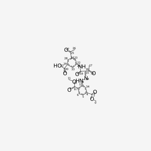 COC(=O)c1ccc(C(=O)OC)c(N/N=C(/C(C)=O)C(=O)Nc2cc(C(C)=O)cc(C(=O)O)c2)c1